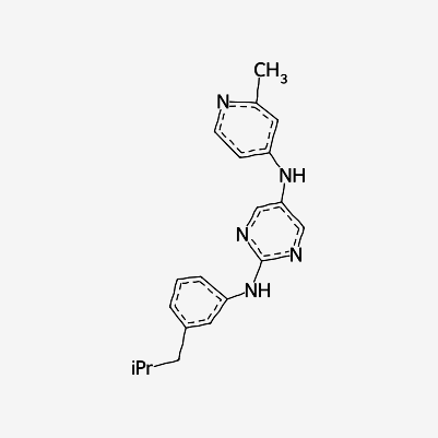 Cc1cc(Nc2cnc(Nc3cccc(CC(C)C)c3)nc2)ccn1